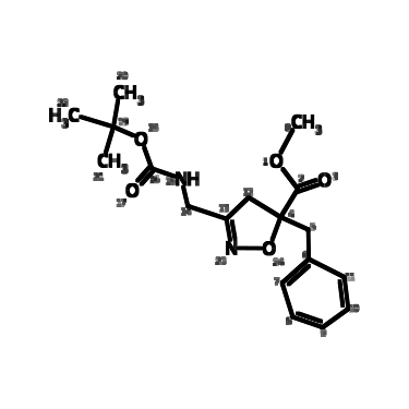 COC(=O)C1(Cc2ccccc2)CC(CNC(=O)OC(C)(C)C)=NO1